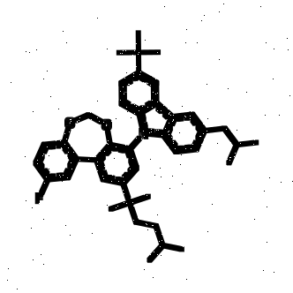 CC(C)CCC(C)(C)c1cc2c(c(-n3c4ccc(CC(C)C)cc4c4cc(C(C)(C)C)ccc43)c1)OCOc1ccc(F)cc1-2